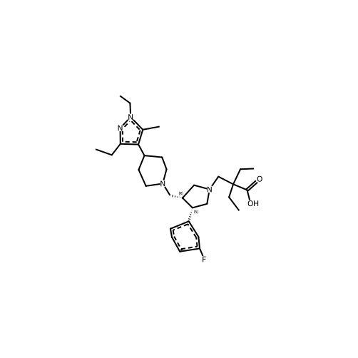 CCc1nn(CC)c(C)c1C1CCN(C[C@@H]2CN(CC(CC)(CC)C(=O)O)C[C@@H]2c2cccc(F)c2)CC1